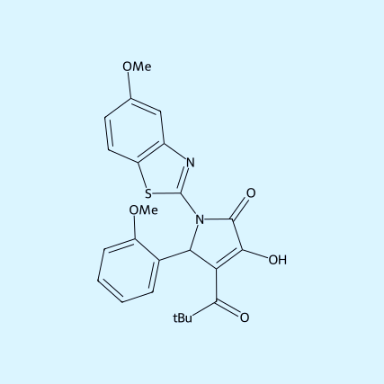 COc1ccc2sc(N3C(=O)C(O)=C(C(=O)C(C)(C)C)C3c3ccccc3OC)nc2c1